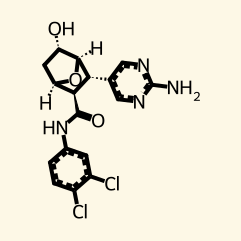 Nc1ncc([C@H]2[C@H]3O[C@H](C[C@@H]3O)[C@@H]2C(=O)Nc2ccc(Cl)c(Cl)c2)cn1